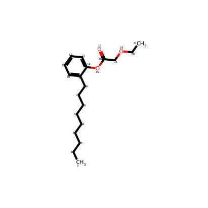 CCCCCCCCCc1ccccc1OC(=O)COCC